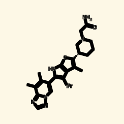 Cc1c(-c2[nH]c3sc([C@H]4CCCN(CC(N)=O)C4)c(C)c3c2C(C)C)cn2ncnc2c1C